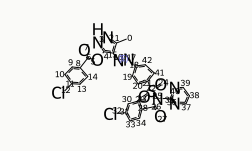 Cc1n[nH]c(OC(=O)c2ccc(Cl)cc2)c1/N=N/c1ccc(S(=O)(=O)N(C(=O)c2ccc(Cl)cc2)c2ncccn2)cc1